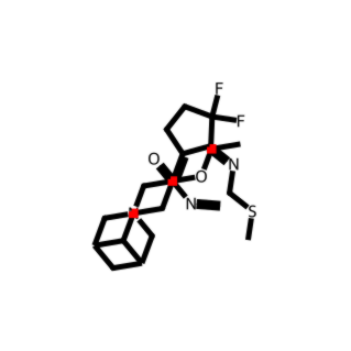 C=N/C(CN1CC2CC(C1)C2CCC(=O)OCC)=C1/CCC(F)(F)/C1=N/CSC